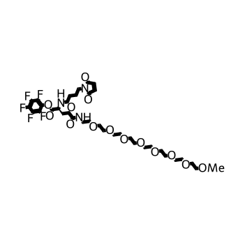 COCCOCCOCCOCCOCCOCCOCCOCCNC(=O)CC[C@H](NC(=O)CCCN1C(=O)C=CC1=O)C(=O)Oc1c(F)c(F)c(F)c(F)c1F